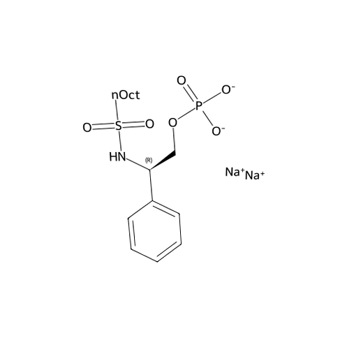 CCCCCCCCS(=O)(=O)N[C@@H](COP(=O)([O-])[O-])c1ccccc1.[Na+].[Na+]